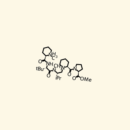 COC(=O)[C@@H]1CCCN1C(=O)[C@@H]1CCCCN1C[C@H](C(C)C)N(C)C(=O)[C@@H](NC(=O)[C@H]1CCCCN1C)C(C)(C)C